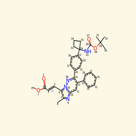 COC(=O)/C=C/c1c(C)nc2cc(-c3ccccc3)c(-c3ccc(C4(NC(=O)OC(C)(C)C)CCC4)cc3)nn12